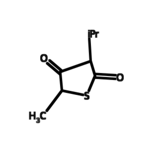 CC1SC(=O)C(C(C)C)C1=O